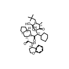 C[C@@H](C(=O)N[C@H](C(=O)N1C[C@@H]2CCCN2C[C@H]1C(=O)N[C@@H]1CCOc2ccccc21)C1CCCCC1)N(CC(C)(C)C)C(=O)O